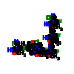 COc1ccc(-c2cc(F)cc3c(C)c4n(c23)CCNC4=O)cn1.Cc1c2n(c3c(-c4ccc(Cl)nc4)cc(F)cc13)CCNC2=O.Cc1c2n(c3c(-c4ccc(F)nc4)cc(F)cc13)CCNC2=O.Cc1c2n(c3c(-c4cccnc4)cc(F)cc13)CCNC2=O.Cc1c2n(c3c(-c4ccnc(Cl)c4)cc(F)cc13)CCNC2=O.Cc1c2n(c3c(-c4ccnc(F)c4)cc(F)cc13)CCNC2=O